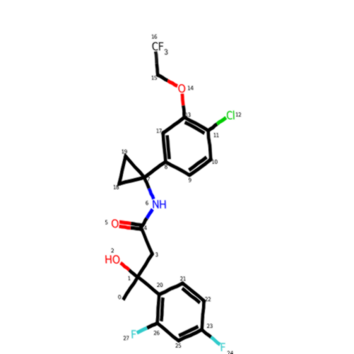 CC(O)(CC(=O)NC1(c2ccc(Cl)c(OCC(F)(F)F)c2)CC1)c1ccc(F)cc1F